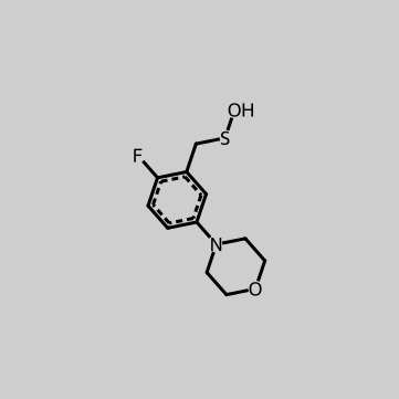 OSCc1cc(N2CCOCC2)ccc1F